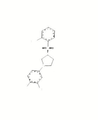 O=C(O)[C@H]1C[C@H](S(=O)(=O)c2ccccc2C(F)(F)F)CN1c1ccc(F)c(Cl)c1